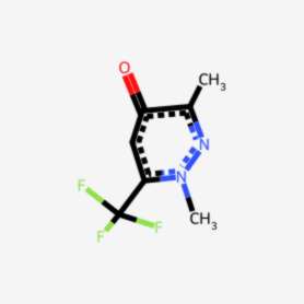 Cc1nn(C)c(C(F)(F)F)cc1=O